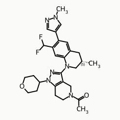 CC(=O)N1CCc2c(c(N3C[C@@H](C)Cc4cc(-c5cnn(C)c5)c(C(F)F)cc43)nn2C2CCOCC2)C1